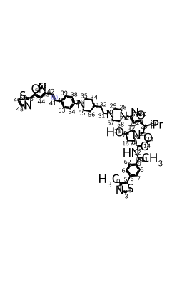 Cc1ncsc1-c1ccc([C@H](C)NC(=O)[C@@H]2C[C@@H](O)CN2C(=O)C(c2cc(N3CCN(CCC4CCN(c5ccc(/C=C/c6cc(-c7nccs7)on6)cc5)CC4)CC3)no2)C(C)C)cc1